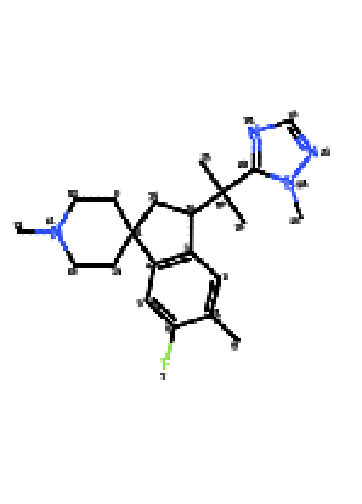 Cc1cc2c(cc1F)C1(CCN(C)CC1)CC2C(C)(C)c1ncnn1C